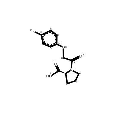 O=C(O)[C@@H]1CCCN1C(=O)COc1ccc(F)cc1